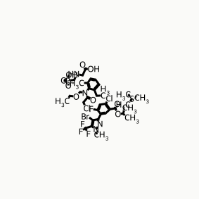 CC(C)OC(=O)c1cc(-c2nn(C)c(C(F)(F)F)c2Br)c(F)cc1Cl.CCOCN(C(=O)CCl)c1c(C)cccc1CC.C[S+](C)C.O=C(O)CNCP(=O)([O-])O